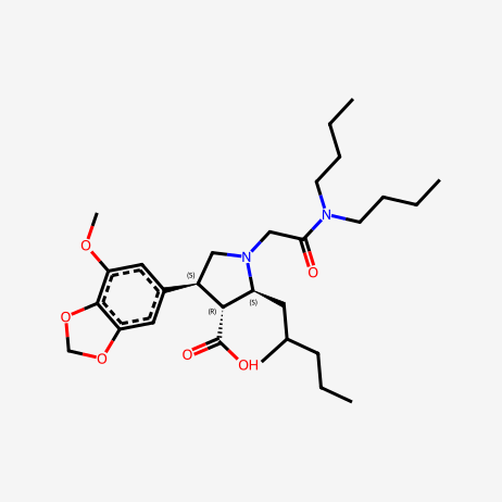 CCCCN(CCCC)C(=O)CN1C[C@H](c2cc(OC)c3c(c2)OCO3)[C@@H](C(=O)O)[C@@H]1CC(C)CCC